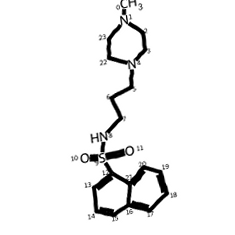 CN1CCN(CCCNS(=O)(=O)c2cccc3ccccc23)CC1